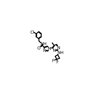 Cc1cnc(NC2CC(F)(F)C2)nc1-n1cnc(C(=O)NCc2cccc(Cl)c2)c1